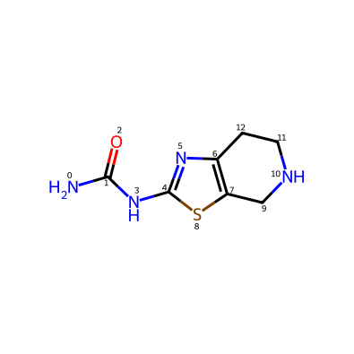 NC(=O)Nc1nc2c(s1)CNCC2